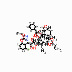 C=C[C@@H]1O[C@@H]2C3=C(C)[C@@H](OC(=O)[C@H](O)[C@@H](NC(=O)OC(C)C)c4ccccc4F)C[C@@](O)([C@@H](OC(=O)c4ccccc4)[C@H]4[C@@](C)(CC[C@H]5OC[C@]54OC(C)=O)[C@@H]2O1)C3(C)C